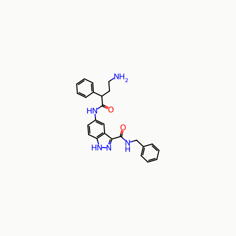 NCCC(C(=O)Nc1ccc2[nH]nc(C(=O)NCc3ccccc3)c2c1)c1ccccc1